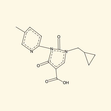 Cc1ccc(-n2c(=O)c(C(=O)O)cn(CC3CC3)c2=O)nc1